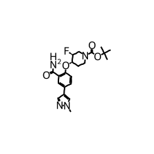 Cn1cc(-c2ccc(O[C@@H]3CCN(C(=O)OC(C)(C)C)C[C@@H]3F)c(C(N)=O)c2)cn1